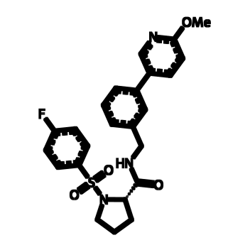 COc1ccc(-c2cccc(CNC(=O)[C@@H]3CCCN3S(=O)(=O)c3ccc(F)cc3)c2)cn1